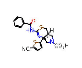 N#Cc1ccc([C@]23CN(C(=O)O)C[C@H]2CSC(NC(=O)c2ccccc2)=N3)s1